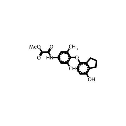 COC(=O)C(=O)Nc1cc(C)c(Oc2ccc(O)c3c2CCC3)c(C)c1